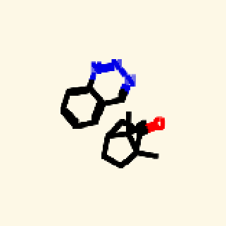 CC12CCC(CC1=O)C2(C)C.c1ccc2nnncc2c1